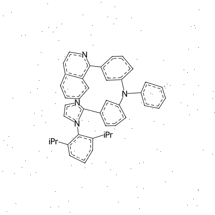 CC(C)c1cccc(C(C)C)c1-n1ccnc1-c1cccc(N(c2ccccc2)c2cccc(-c3nccc4ccccc34)c2)c1